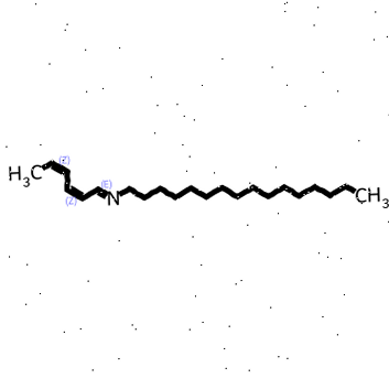 C\C=C/C=C\C=N\CCCCCCCCCCCCCCCC